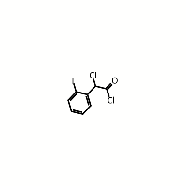 O=C(Cl)C(Cl)c1ccccc1I